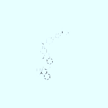 CC(C)(C)OC(=O)N1CC(N2CCC(C(=O)N3CCN(C(=O)c4cc(Cc5n[nH]c(=O)c6ccccc56)ccc4F)CC3)CC2)C1